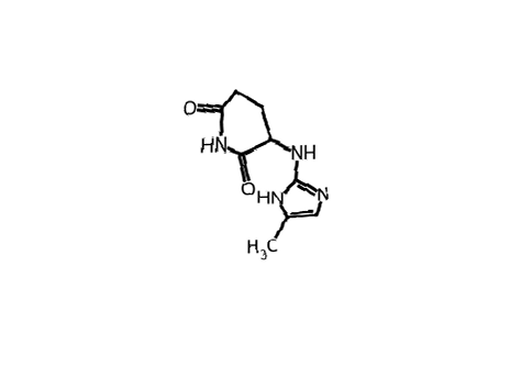 Cc1cnc(NC2CCC(=O)NC2=O)[nH]1